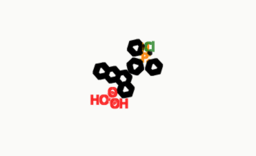 ClC[PH](c1ccccc1)(c1ccccc1)c1ccccc1.OB(O)Oc1cccc2ccc3cc4ccccc4cc3c12